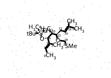 C/C=C(\C)[C@H](O[Si](C)(C)C(C)(C)C)[C@@H](C)[C@@H](CC=C(C)C)OCSC